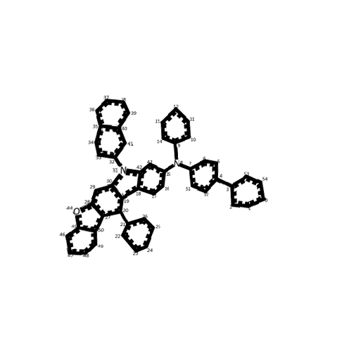 c1ccc(-c2ccc(N(c3ccccc3)c3ccc4c5c(-c6ccccc6)c6c(cc5n(-c5ccc7ccccc7c5)c4c3)oc3ccccc36)cc2)cc1